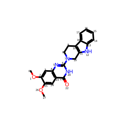 COc1cc2nc(N3CCc4c([nH]c5ccccc45)C3)[nH]c(=O)c2cc1OC